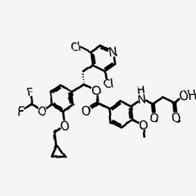 COc1ccc(C(=O)O[C@@H](Cc2c(Cl)cncc2Cl)c2ccc(OC(F)F)c(OCC3CC3)c2)cc1NC(=O)CC(=O)O